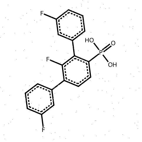 O=P(O)(O)c1ccc(-c2cccc(F)c2)c(F)c1-c1cccc(F)c1